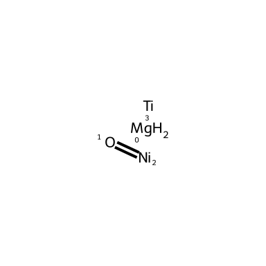 [MgH2].[O]=[Ni].[Ti]